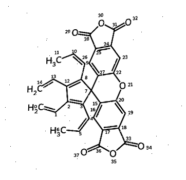 C=CC1=C(/C=C\C)C2(C(/C=C\C)=C1C=C)c1cc3c(cc1Oc1cc4c(cc12)C(=O)OC4=O)C(=O)OC3=O